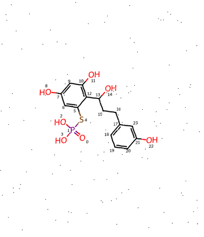 O=P(O)(O)Sc1cc(O)cc(O)c1C(O)CCc1cccc(O)c1